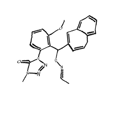 C/C=N/OC(c1ccc2ccccc2c1)c1c(OC)cccc1-n1nnn(C)c1=O